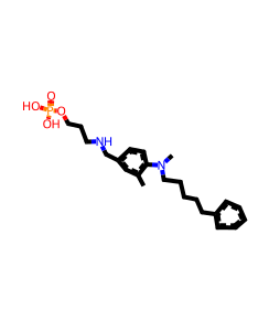 Cc1cc(CNCCCOP(=O)(O)O)ccc1N(C)CCCCCc1ccccc1